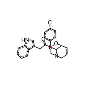 O=C(Cc1c[nH]c2ccccc12)N1CN2CC=CC(O1)C2Cc1ccc(Cl)cc1